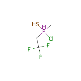 C[PH](S)(Cl)CC(F)(F)F